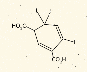 O=C(O)C1=CC(C(=O)O)C(I)(I)C=C1I